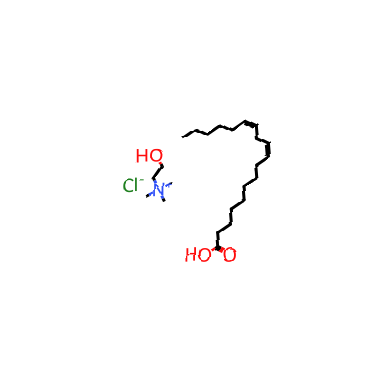 CCCCC/C=C\C/C=C\CCCCCCCC(=O)O.C[N+](C)(C)CCO.[Cl-]